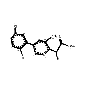 CCC(C(=O)OC)c1nnc(-c2cc(Cl)ccc2F)cc1N